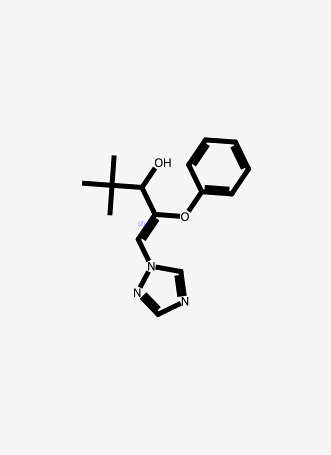 CC(C)(C)C(O)/C(=C/n1cncn1)Oc1ccccc1